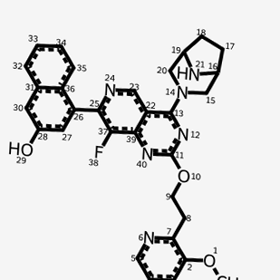 COc1cccnc1CCOc1nc(N2CC3CCC(C2)N3)c2cnc(-c3cc(O)cc4ccccc34)c(F)c2n1